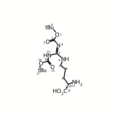 CC(C)(C)OC(=O)/N=C(/NCCC[C@@H](N)C(=O)O)NC(=O)OC(C)(C)C